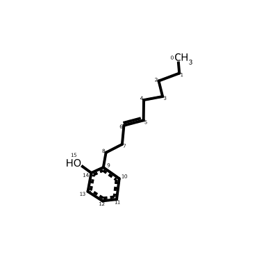 CCCCCC=CCCc1ccccc1O